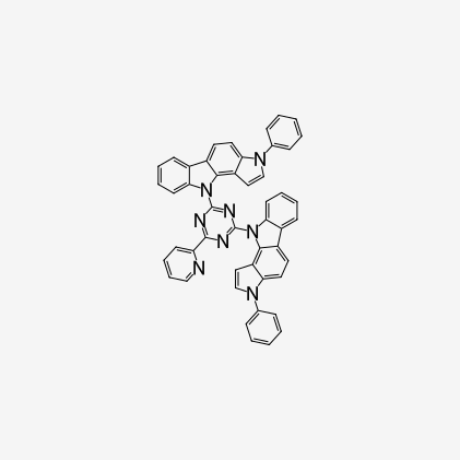 c1ccc(-n2ccc3c2ccc2c4ccccc4n(-c4nc(-c5ccccn5)nc(-n5c6ccccc6c6ccc7c(ccn7-c7ccccc7)c65)n4)c23)cc1